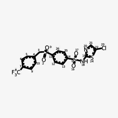 O=S(=O)(Cc1ccc(C(F)(F)F)cc1)c1ccc(S(=O)(=O)Nc2ncc(Cl)s2)cc1